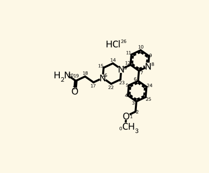 COCc1ccc(-c2ncccc2N2CCN(CCC(N)=O)CC2)cc1.Cl